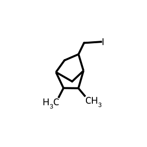 CC1C2CC(CI)C(C2)C1C